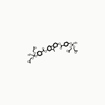 CCCC(OCC1CO1)(OCC1CO1)Oc1ccc(C(=O)Oc2ccc3c(c2)C(C)c2cc(OC(=O)c4ccc(OC(CCC)(OCC5CO5)OCC5CO5)cc4)ccc2-3)cc1